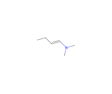 CCC=CN(C)C